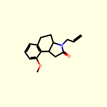 C=CCN1C(=O)CC2c3c(cccc3OC)CCC21